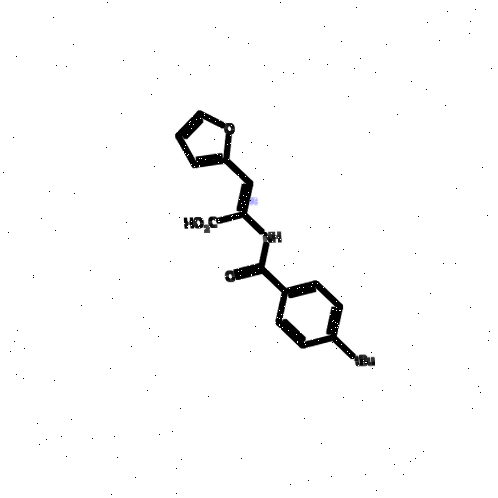 CC(C)(C)c1ccc(C(=O)N/C(=C/c2ccco2)C(=O)O)cc1